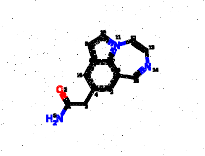 NC(=O)Cc1cc2c3c(ccn3C=CN=C2)c1